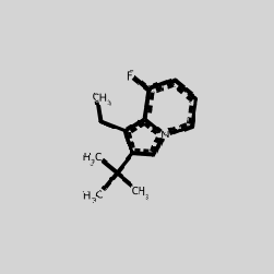 CCc1c(C(C)(C)C)cn2cccc(F)c12